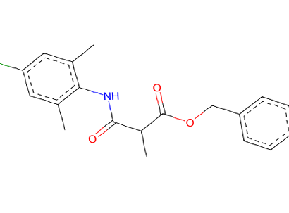 Cc1cc(F)cc(C)c1NC(=O)C(C)C(=O)OCc1ccccc1